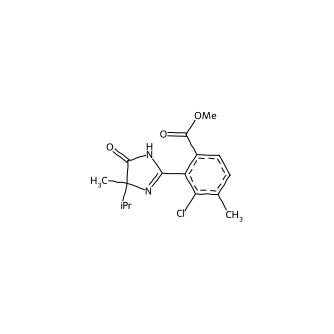 COC(=O)c1ccc(C)c(Cl)c1C1=NC(C)(C(C)C)C(=O)N1